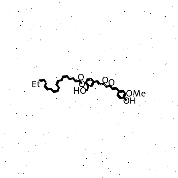 CC/C=C\C/C=C\C/C=C\C/C=C\C/C=C\CCCC(=O)Oc1ccc(/C=C/C(=O)CC(=O)/C=C/c2ccc(O)c(OC)c2)cc1CO